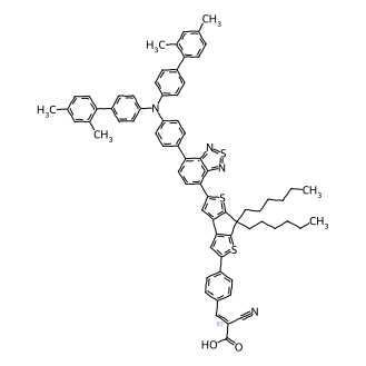 CCCCCCC1(CCCCCC)c2sc(-c3ccc(/C=C(\C#N)C(=O)O)cc3)cc2-c2cc(-c3ccc(-c4ccc(N(c5ccc(-c6ccc(C)cc6C)cc5)c5ccc(-c6ccc(C)cc6C)cc5)cc4)c4nsnc34)sc21